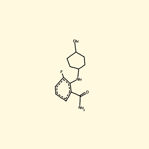 NC(=O)c1cccc(F)c1NC1CCC(O)CC1